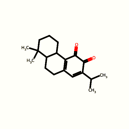 CC(C)C1=CC2=C(C(=O)C1=O)C1CCCC(C)(C)C1CC2